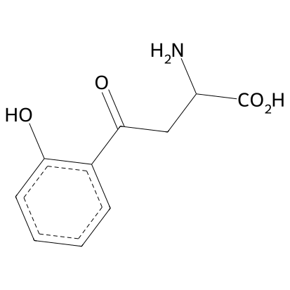 NC(CC(=O)c1ccccc1O)C(=O)O